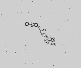 Cc1noc(C)c1N1OCN=C1CN1CCN(C[C@@H](O)COc2ccc3oc(-c4ccccc4)nc3c2)CC1